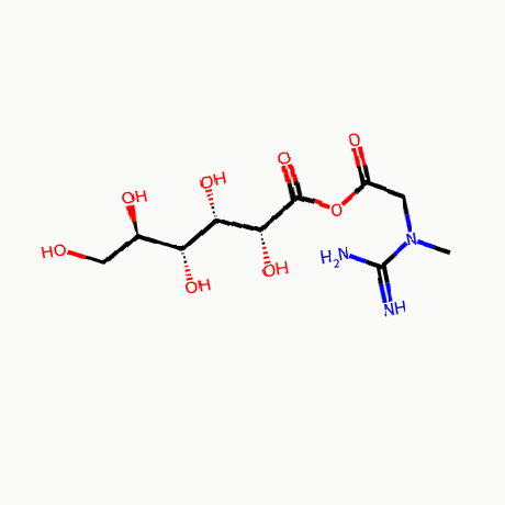 CN(CC(=O)OC(=O)[C@H](O)[C@@H](O)[C@H](O)[C@H](O)CO)C(=N)N